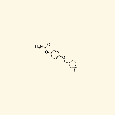 CC1(C)CCC(COc2ccc(OC(N)=O)cc2)C1